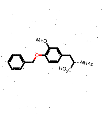 COc1cc(C[C@H](NC(C)=O)C(=O)O)ccc1OCc1ccccc1